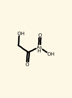 O=C(CO)[AsH](=O)O